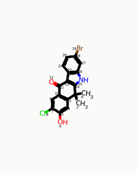 CC1(C)c2cc(O)c(Cl)cc2C(=O)c2c1[nH]c1cc(Br)ccc21